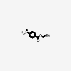 CCC(C)COC(=O)c1ccc([SiH2]C)cc1